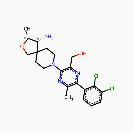 Cc1nc(N2CCC3(CC2)CO[C@H](C)[C@@H]3N)c(CO)nc1-c1cccc(Cl)c1Cl